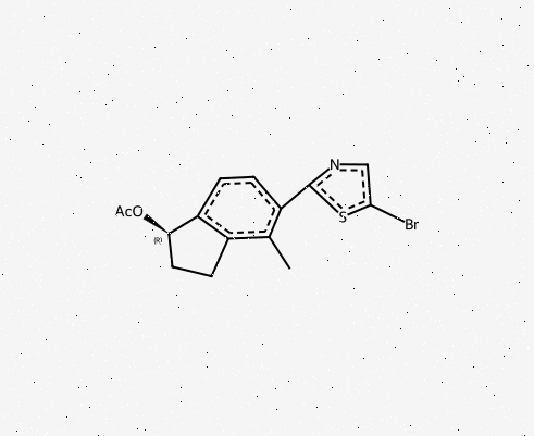 CC(=O)O[C@@H]1CCc2c1ccc(-c1ncc(Br)s1)c2C